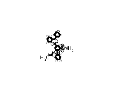 CCCCNc1cc(C(=O)OC(c2ccccc2)c2ccccc2)cc(S(N)(=O)=O)c1Oc1ccccc1